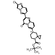 CC(C)(C)OC(=O)N1CC[C@@H](c2ccc3nc(-c4ccc5nc(Cl)cn5n4)cc(=O)n3c2)CC12CC2